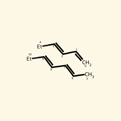 C=CC=CCC.CC=CC=CCC